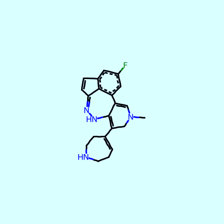 CN1C=C2C(=C(C3=CCCNCC3)C1)NN=C1C=Cc3cc(F)cc2c31